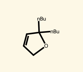 CCCCC1(CCCC)C=CCO1